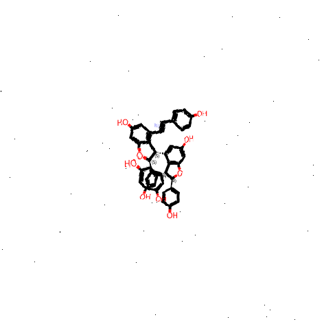 Oc1ccc(/C=C/c2cc(O)cc3c2[C@H](c2cc(O)cc4c2[C@@H](c2cc(O)cc(O)c2)[C@H](c2ccc(O)cc2)O4)[C@@H](c2ccc(O)cc2)O3)cc1